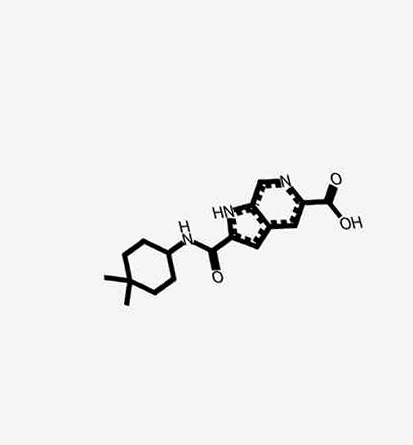 CC1(C)CCC(NC(=O)c2cc3cc(C(=O)O)ncc3[nH]2)CC1